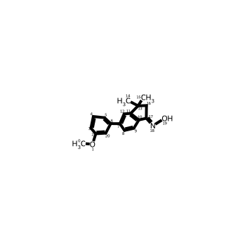 COc1cccc(-c2ccc3c(c2)C(C)(C)C/C3=N\O)c1